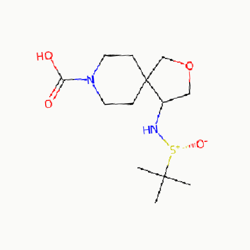 CC(C)(C)[S@@+]([O-])NC1COCC12CCN(C(=O)O)CC2